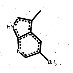 Bc1cnc2[nH]cc(C)c2c1